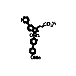 COc1ccc(-c2ccc(S(=O)(=O)n3cc(CCC(=O)O)c4cc(-c5cccnc5)ccc43)cc2)cc1